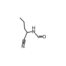 CCCC(C#N)N[C]=O